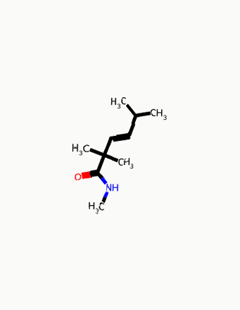 CNC(=O)C(C)(C)/C=C/C(C)C